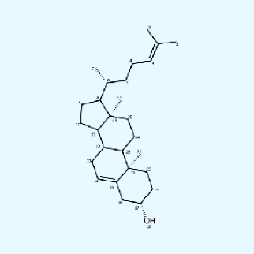 CC(C)=CCC[C@@H](C)C1CCC2C3CC=C4C[C@@H](O)CC[C@]4(C)C3CC[C@@]21C